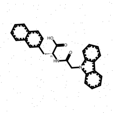 O=C(Cn1c2ccccc2c2ccccc21)N[C@H](Cc1ccc2ccccc2c1)C(=O)O